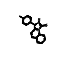 Cc1ccc(-c2[nH]c(=S)n3c2ccc2ccccc23)cc1